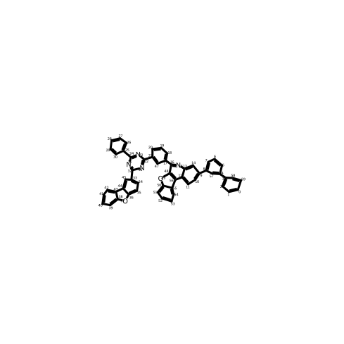 c1ccc(-c2cccc(-c3ccc4c(c3)nc(-c3cccc(-c5nc(-c6ccccc6)nc(-c6ccc7oc8ccccc8c7c6)n5)c3)c3oc5ccccc5c34)c2)cc1